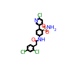 NS(=O)(=O)c1cc(NC(=O)Cc2ccc(Cl)cc2Cl)ccc1-c1ccc(Cl)nc1